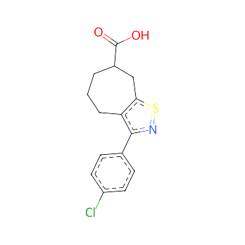 O=C(O)C1CCCc2c(-c3ccc(Cl)cc3)nsc2C1